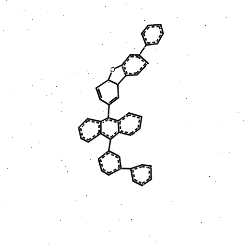 C1=CC2Oc3cc(-c4ccccc4)ccc3C2C=C1c1c2ccccc2c(-c2cccc(-c3ccccc3)c2)c2ccccc12